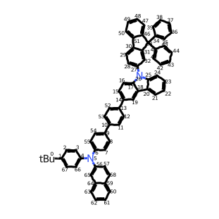 CC(C)(C)c1ccc(N(c2ccc(-c3ccc(-c4ccc5c(c4)c4ccccc4n5-c4ccc5c(c4)C(c4ccccc4)(c4ccccc4)c4ccccc4-5)cc3)cc2)c2ccc3ccccc3c2)cc1